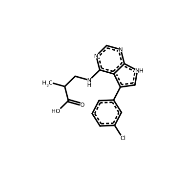 CC(CNc1ncnc2[nH]cc(-c3cccc(Cl)c3)c12)C(=O)O